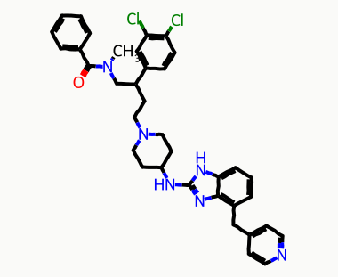 CN(CC(CCN1CCC(Nc2nc3c(Cc4ccncc4)cccc3[nH]2)CC1)c1ccc(Cl)c(Cl)c1)C(=O)c1ccccc1